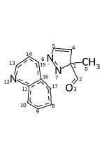 CC1(C=O)C=CN=N1.c1ccc2ncccc2c1